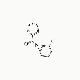 O=C(c1ccccc1)N1c2cccc(Cl)c21